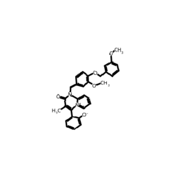 COc1cccc(COc2ccc(Cn3c(=O)c(C)c(-c4ccccc4[O-])[n+]4ccccc34)cc2OC)c1